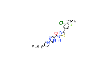 CCOC(=O)C1CCN(c2cnc(C(=O)Nc3nc(-c4cc(F)c(OC)c(Cl)c4)cs3)cn2)CC1